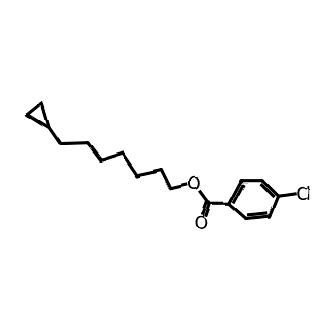 O=C(OCCCCCCCC1CC1)c1ccc(Cl)cc1